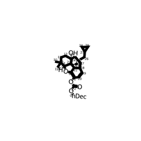 CCCCCCCCCCOC(=O)OC1=C2O[C@H]3C(C)(C)CC[C@@]4(O)C5CC(C=C1)C2[C@@]34CCN5CC1CC1